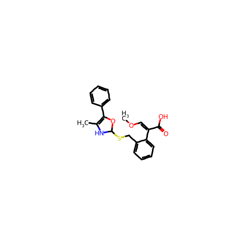 CO/C=C(/C(=O)O)c1ccccc1CSC1NC(C)=C(c2ccccc2)O1